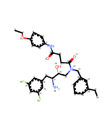 CCOc1ccc(NC(=O)CCC(=O)N(Cc2cccc(CC)c2)C[C@@H](O)[C@@H](N)Cc2cc(F)cc(F)c2)cc1